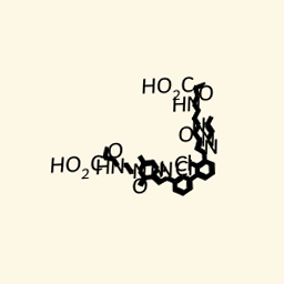 Cc1cn2nc(-c3cccc(-c4cccc(-c5cc6c(=O)n(CCNC7OCC7C(=O)O)c(C)cn6n5)c4Cl)c3Cl)cc2c(=O)n1CCNC1OCC1C(=O)O